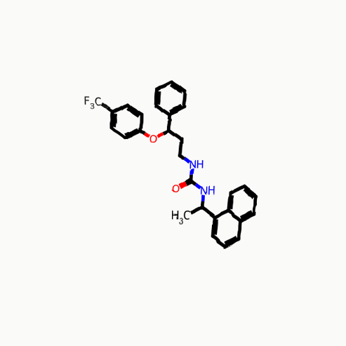 CC(NC(=O)NCCC(Oc1ccc(C(F)(F)F)cc1)c1ccccc1)c1cccc2ccccc12